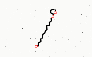 O=CCCCCCCCCCCCCCOC1CCCCO1